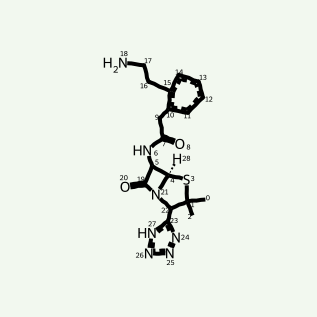 CC1(C)S[C@@H]2C(NC(=O)Cc3ccccc3CCN)C(=O)N2C1c1nnn[nH]1